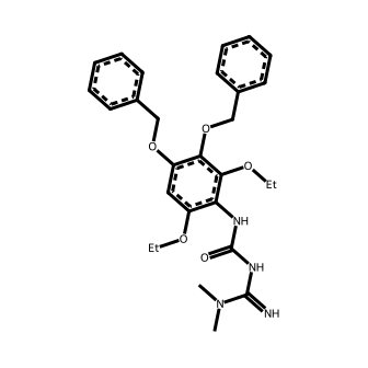 CCOc1cc(OCc2ccccc2)c(OCc2ccccc2)c(OCC)c1NC(=O)NC(=N)N(C)C